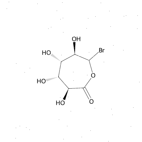 O=C1OC(Br)[C@H](O)[C@@H](O)[C@@H](O)[C@@H]1O